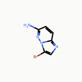 Nc1ccc2ncc(Br)n2n1